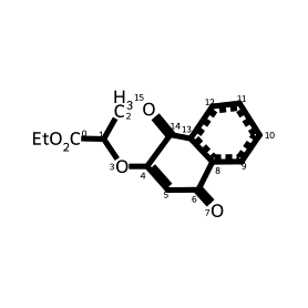 CCOC(=O)C(C)OC1=CC(=O)c2ccccc2C1=O